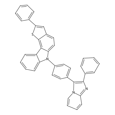 c1ccc(-c2cc3ccc4c(c5ccccc5n4-c4ccc(-c5c(-c6ccccc6)nc6ccccn56)cc4)c3s2)cc1